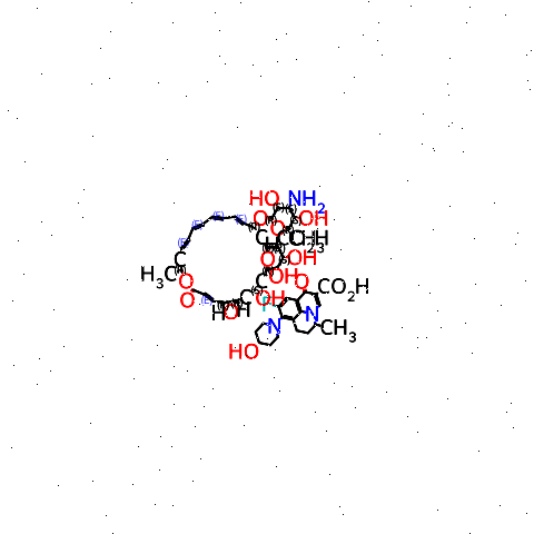 CC1CCc2c(N3CCC(O)CC3)c(F)cc3c(=O)c(C(=O)O)cn1c23.C[C@@H]1C/C=C/C=C/C=C/C=C/[C@H](O[C@@H]2O[C@H](C)[C@@H](O)[C@H](N)[C@@H]2O)C[C@@H]2O[C@](O)(C[C@@H](O)C[C@H]3O[C@@H]3/C=C/C(=O)O1)C[C@H](O)[C@H]2C(=O)O